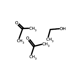 CC(C)=O.CC(C)=O.CCO